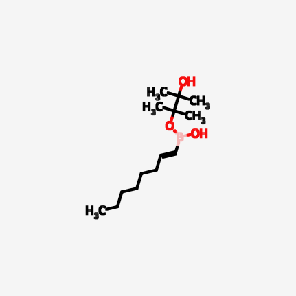 CCCCCC/C=C/B(O)OC(C)(C)C(C)(C)O